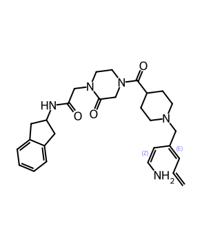 C=C/C=C(\C=C/N)CN1CCC(C(=O)N2CCN(CC(=O)NC3Cc4ccccc4C3)C(=O)C2)CC1